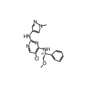 COC[C@@H](Nc1nc(Nc2cnn(C)c2)ncc1Cl)c1ccccc1